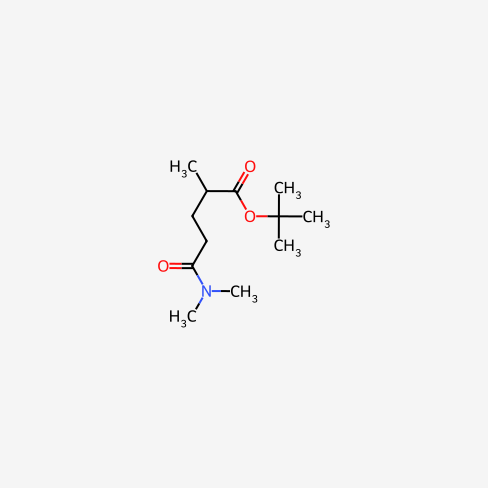 CC(CCC(=O)N(C)C)C(=O)OC(C)(C)C